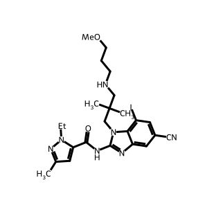 CCn1nc(C)cc1C(=O)Nc1nc2cc(C#N)cc(I)c2n1CC(C)(C)CNCCCOC